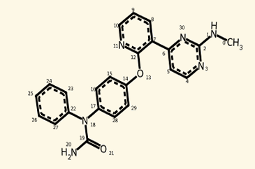 CNc1nccc(-c2cccnc2Oc2ccc(N(C(N)=O)c3ccccc3)cc2)n1